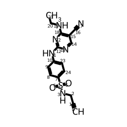 C#CCNS(=O)(=O)c1ccc(Nc2ncc(C#N)c(NCC)n2)cc1